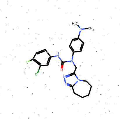 CN(C)c1ccc(N(Cc2nnc3n2CCCCC3)C(=O)Nc2ccc(F)c(Cl)c2)cc1